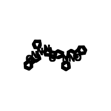 c1ccc(N(c2ccc3c(c2)oc2cc(N(c4ccccc4)c4ccc5c(n4)oc4ccccc45)ncc23)c2ccc3c(n2)oc2ccccc23)cc1